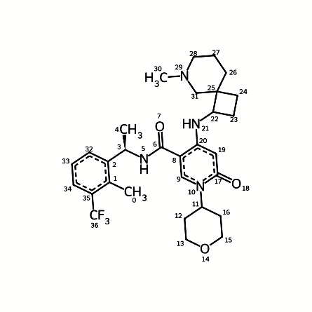 Cc1c([C@@H](C)NC(=O)c2cn(C3CCOCC3)c(=O)cc2NC2CCC23CCCN(C)C3)cccc1C(F)(F)F